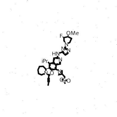 CC#CC(=O)N1CCCCC[C@H]1c1cc(N2CC(CS(C)(=O)=O)C2)c2cnc(Nc3ccnc(N4CC[C@H](OC)[C@H](F)C4)n3)cc2c1C(C)C